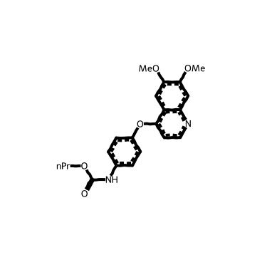 CCCOC(=O)Nc1ccc(Oc2ccnc3cc(OC)c(OC)cc23)cc1